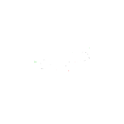 OC(COc1ccc(Cl)cc1Cl)COc1ccc(Cl)cc1Cl